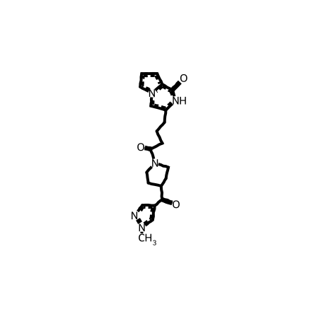 Cn1cc(C(=O)C2CCN(C(=O)CCCc3cn4cccc4c(=O)[nH]3)CC2)cn1